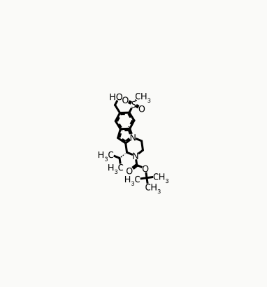 CC(C)[C@@H]1c2cc3cc(CO)c(S(C)(=O)=O)cc3n2CCN1C(=O)OC(C)(C)C